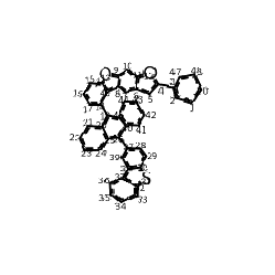 c1ccc(-c2cc3cc4c(cc3o2)oc2cccc(-c3c5ccccc5c(-c5ccc6sc7ccccc7c6c5)c5ccccc35)c24)cc1